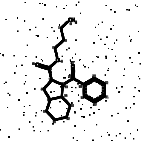 CCCCOC(=O)C1CC2CCCCC2N1C(=O)c1ccccc1